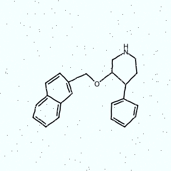 c1ccc(C2CCNCC2OCc2ccc3ccccc3c2)cc1